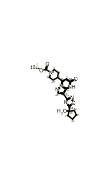 CC(C)(C)OC(=O)N1CCC(c2cc(=O)[nH]c3c(-c4noc(C5(C)CCCC5)n4)cnn23)CC1